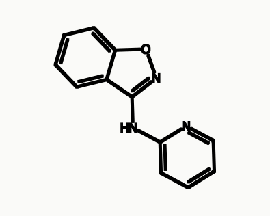 c1ccc(Nc2noc3ccccc23)nc1